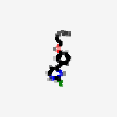 CCCCCCCCCCCOc1cccc(-c2ccnc(Cl)n2)c1